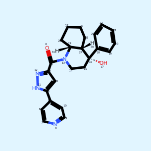 O=C(c1cc(-c2ccncc2)[nH]n1)N1CC[C@](O)(c2ccccc2)[C@H]2CCCC[C@H]21